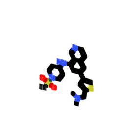 CCS(=O)(=O)N1CCC(Nc2cc(-c3csc(CN(C)C)c3)cc3ccncc23)CC1